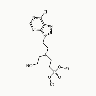 CCOP(=O)(CCN(CCC#N)CCn1cnc2c(Cl)ncnc21)OCC